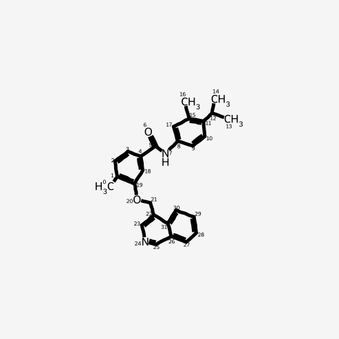 Cc1ccc(C(=O)Nc2ccc(C(C)C)c(C)c2)cc1OCc1cncc2ccccc12